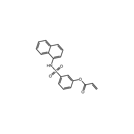 C=CC(=O)Oc1cccc(S(=O)(=O)Nc2cccc3ccccc23)c1